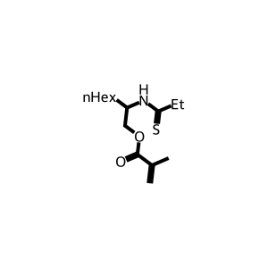 C=C(C)C(=O)OCC(CCCCCC)NC(=S)CC